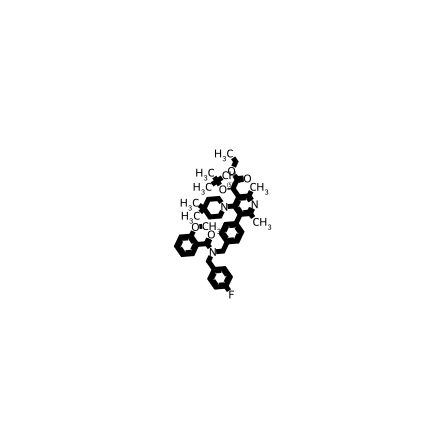 CCOC(=O)[C@@H](OC(C)(C)C)c1c(C)nc(C)c(-c2ccc(CN(Cc3ccc(F)cc3)C(=O)c3ccccc3OC)cc2)c1N1CCC(C)(C)CC1